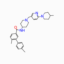 Cc1ccc(-c2cc(C(=O)NC3CCN(Cc4ccc(N5CCC(C)CC5)nc4)CC3)ccc2C)cc1